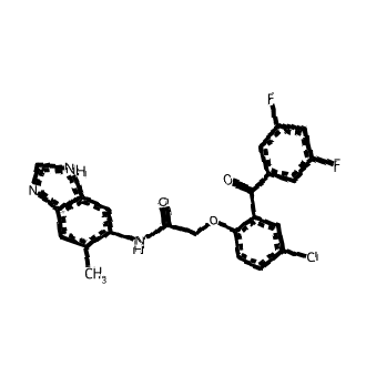 Cc1cc2nc[nH]c2cc1NC(=O)COc1ccc(Cl)cc1C(=O)c1cc(F)cc(F)c1